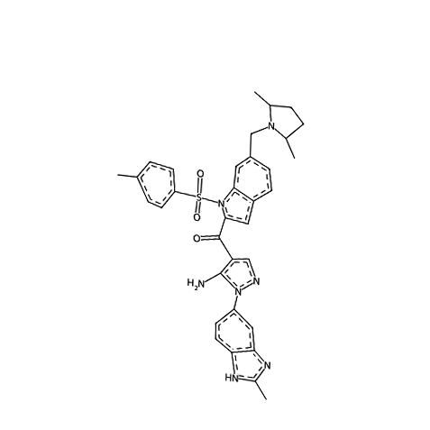 Cc1ccc(S(=O)(=O)n2c(C(=O)c3cnn(-c4ccc5[nH]c(C)nc5c4)c3N)cc3ccc(CN4C(C)CCC4C)cc32)cc1